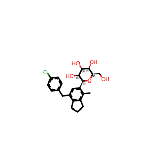 Cc1c([C@@H]2O[C@H](CO)[C@H](O)[C@H](O)[C@@H]2O)cc(Cc2ccc(Cl)cc2)c2c1CCC2